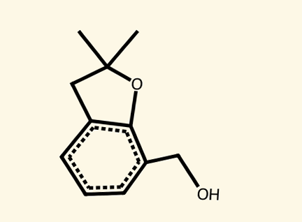 CC1(C)Cc2cccc(CO)c2O1